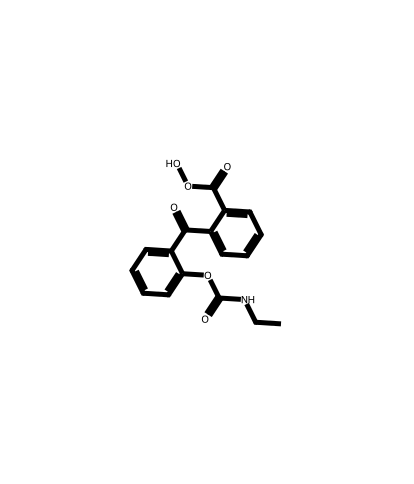 CCNC(=O)Oc1ccccc1C(=O)c1ccccc1C(=O)OO